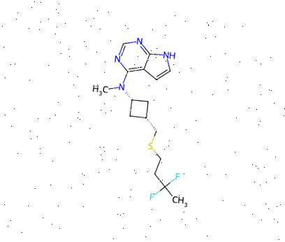 CN(c1ncnc2[nH]ccc12)[C@H]1C[C@@H](CSCCC(C)(F)F)C1